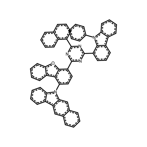 c1ccc(-n2c3ccccc3c3cccc(-c4nc(-c5cccc6ccccc56)nc(-c5ccc(-n6c7ccccc7c7cc8ccccc8cc76)c6c5oc5ccccc56)n4)c32)cc1